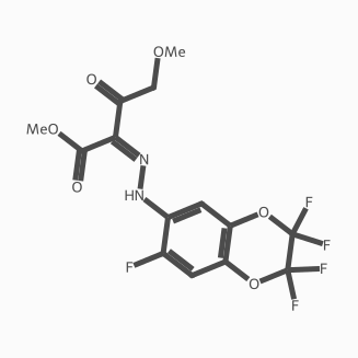 COCC(=O)/C(=N/Nc1cc2c(cc1F)OC(F)(F)C(F)(F)O2)C(=O)OC